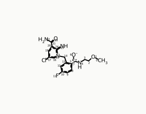 COCCN[S+]([O-])c1ccc(F)cc1Cn1cc(Cl)cc(C(N)=O)c1=N